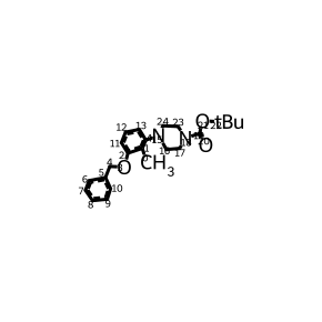 Cc1c(OCc2ccccc2)cccc1N1CCN(C(=O)OC(C)(C)C)CC1